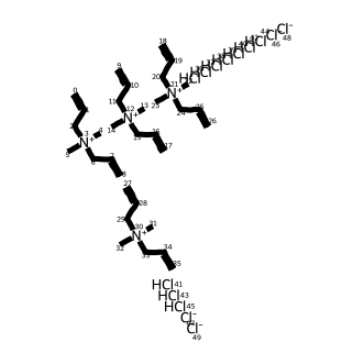 C=CC[N+](C)(C)CC=C.C=CC[N+](C)(C)CC=C.C=CC[N+](C)(C)CC=C.C=CC[N+](C)(C)CC=C.Cl.Cl.Cl.Cl.Cl.Cl.Cl.Cl.Cl.Cl.[Cl-].[Cl-].[Cl-].[Cl-]